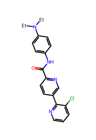 CCN(CC)c1ccc(NC(=O)c2ccc(-c3ncccc3Cl)cn2)cc1